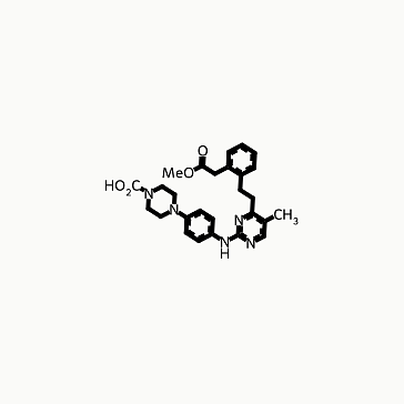 COC(=O)Cc1ccccc1CCc1nc(Nc2ccc(N3CCN(C(=O)O)CC3)cc2)ncc1C